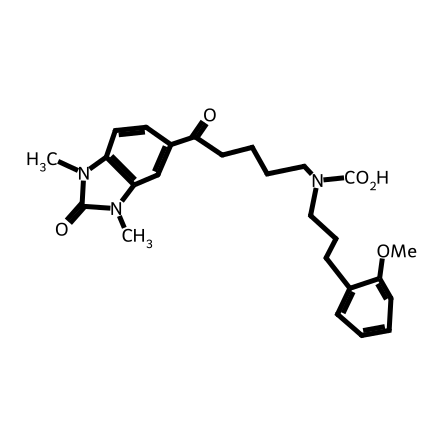 COc1ccccc1CCCN(CCCCC(=O)c1ccc2c(c1)n(C)c(=O)n2C)C(=O)O